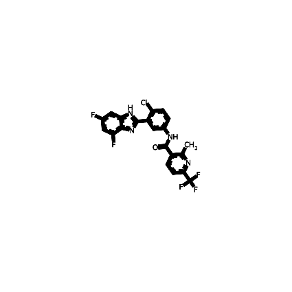 Cc1nc(C(F)(F)F)ccc1C(=O)Nc1ccc(Cl)c(-c2nc3c(F)cc(F)cc3[nH]2)c1